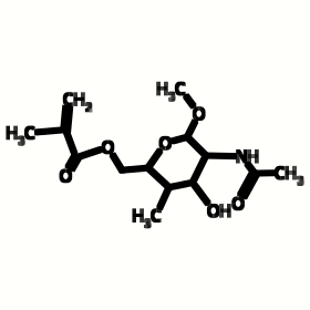 C=C(C)C(=O)OCC1OC(OC)C(NC(C)=O)C(O)C1C